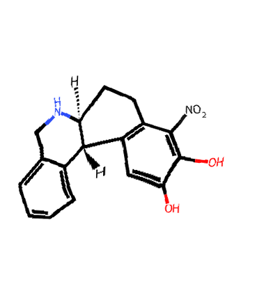 O=[N+]([O-])c1c(O)c(O)cc2c1CC[C@@H]1NCc3ccccc3[C@@H]21